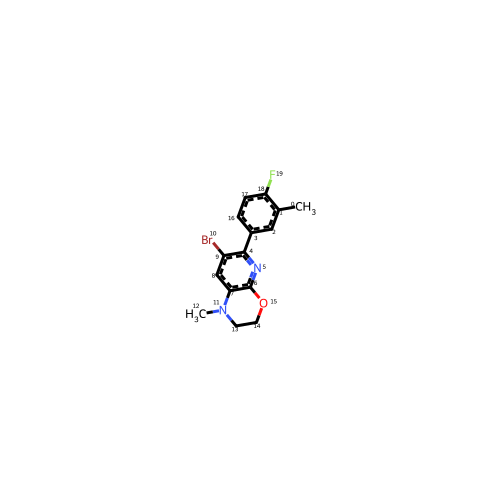 Cc1cc(-c2nc3c(cc2Br)N(C)CCO3)ccc1F